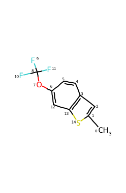 Cc1cc2ccc(OC(F)(F)F)cc2s1